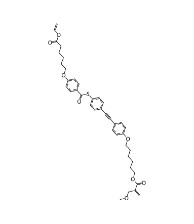 C=COC(=O)CCCCCOc1ccc(C(=O)Sc2ccc(C#Cc3ccc(OCCCCCCOC(=O)C(=C)COC)cc3)cc2)cc1